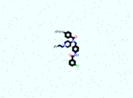 CCCCCc1ccc(C(=O)N(Cc2ccc(NC(=O)c3cccc(Cl)c3)cc2)C2CCN(CCC(C)C)CC2)cc1